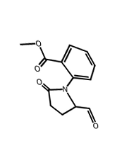 COC(=O)c1ccccc1N1C(=O)CCC1C=O